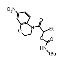 CCC(OC(=O)NC(C)(C)C)C(=O)N1CCOc2cc([N+](=O)[O-])ccc21